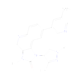 CNc1cncc(-c2ccc3ncc4c(c3c2)n(-c2cn(C(C)C)nc2C)c(=O)n4C)c1